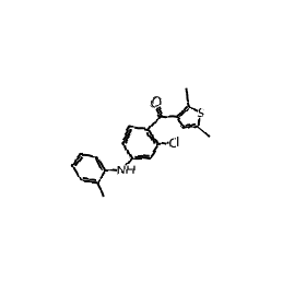 Cc1cc(C(=O)c2ccc(Nc3ccccc3C)cc2Cl)c(C)s1